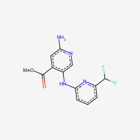 COC(=O)c1cc(N)ncc1Nc1cccc(C(F)F)n1